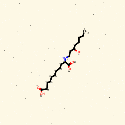 CCCCCC(O)CCNC(CCCCCCCCC(=O)O)C(=O)O